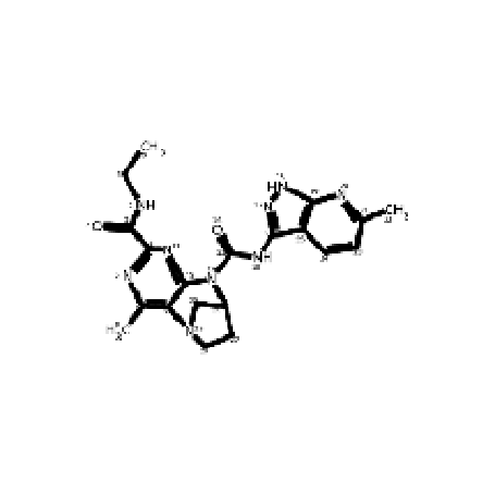 CCNC(=O)c1nc(C)c2c(n1)N(C(=O)Nc1n[nH]c3nc(C)ccc13)C1CCN2C1